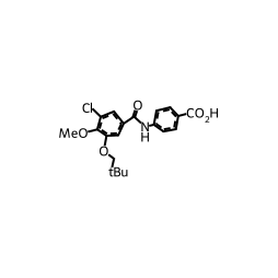 COc1c(Cl)cc(C(=O)Nc2ccc(C(=O)O)cc2)cc1OCC(C)(C)C